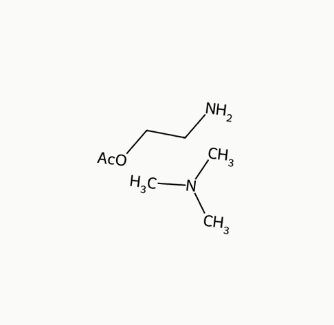 CC(=O)OCCN.CN(C)C